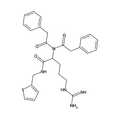 N=C(N)NCCCC(C(=O)NCc1cccs1)N(C(=O)Cc1ccccc1)C(=O)Cc1ccccc1